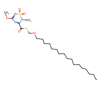 CCCCCCCCCCCCCCCCCCOCSC(=O)C1=NC(OC)=NS(=O)(=O)N1C